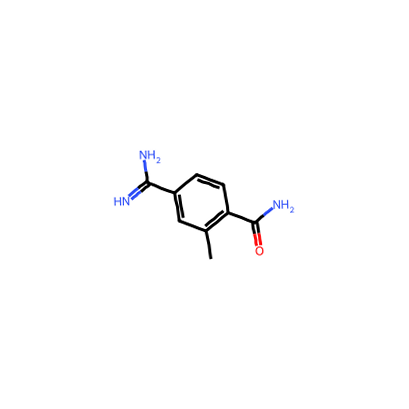 Cc1cc(C(=N)N)ccc1C(N)=O